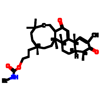 CCNC(=O)OCCC[C@@]1(C)CCC(C)(C)CCC2C(=O)C=C3[C@@]4(C)C=C(C#N)C(=O)[C@@H](C)[C@@H]4CC[C@@]3(C)[C@]2(C)CC1